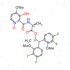 COc1cc[n+]([O-])c(C(=O)N[C@@H](C)C(=O)O[C@@H](C)C(c2ccc(F)c(F)c2OC)c2ccc(F)c(F)c2OC)c1O